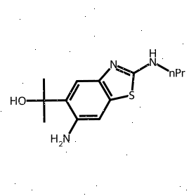 CCCNc1nc2cc(C(C)(C)O)c(N)cc2s1